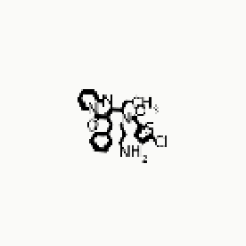 CCC(c1nc2ccccn2c(=O)c1Cc1ccccc1)N(CCCN)C(=O)c1ccc(Cl)s1